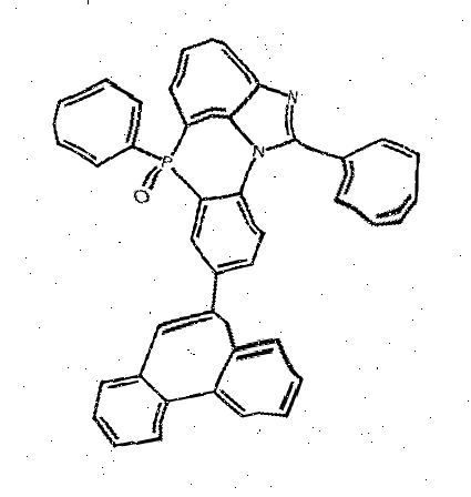 O=P1(c2ccccc2)c2cc(-c3cc4ccccc4c4ccccc34)ccc2-n2c(-c3ccccc3)nc3cccc1c32